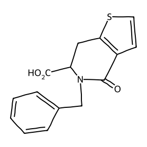 O=C(O)C1Cc2sccc2C(=O)N1Cc1ccccc1